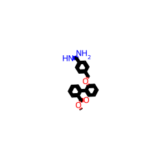 COC(=O)c1ccccc1-c1ccccc1OCc1ccc(C(=N)N)cc1